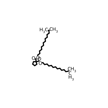 CC(C)CCCCCCCCCCCCOC(=O)C1(C(=O)OCCCCCCCCCCCCC(C)C)CCCC1